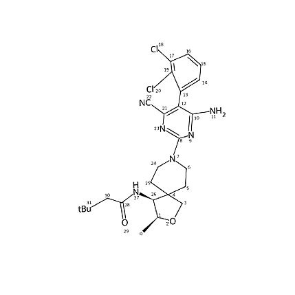 C[C@@H]1OCC2(CCN(c3nc(N)c(-c4cccc(Cl)c4Cl)c(C#N)n3)CC2)[C@@H]1NC(=O)CC(C)(C)C